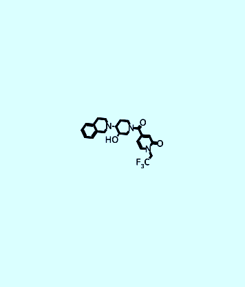 O=C(c1ccn(CC(F)(F)F)c(=O)c1)N1CC[C@@H](N2CCc3ccccc3C2)[C@H](O)C1